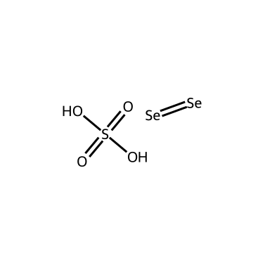 O=S(=O)(O)O.[Se]=[Se]